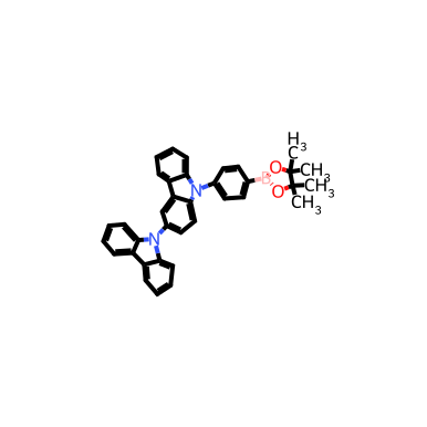 CC1(C)OB(c2ccc(-n3c4ccccc4c4cc(-n5c6ccccc6c6ccccc65)ccc43)cc2)OC1(C)C